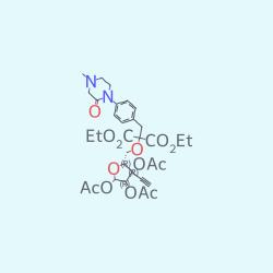 C#C[C@@]1(OC(C)=O)[C@@H](COC(Cc2ccc(N3CCN(C)CC3=O)cc2)(C(=O)OCC)C(=O)OCC)OC(OC(C)=O)[C@@H]1OC(C)=O